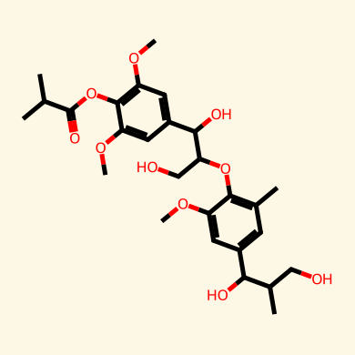 COc1cc(C(O)C(C)CO)cc(C)c1OC(CO)C(O)c1cc(OC)c(OC(=O)C(C)C)c(OC)c1